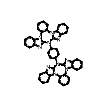 c1ccc2c(c1)nc1n(-c3ccc(-n4c5nc6ccccc6n5c5ccccc5n5c6ccccc6nc45)cc3)c3nc4ccccc4n3c3ccccc3n21